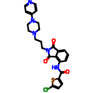 O=C(Nc1cccc2c1C(=O)N(CCCN1CCN(c3ccncc3)CC1)C2=O)c1ccc(Cl)s1